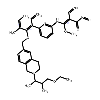 C=C/C(=C(OCc1ccc2c(c1)CCN(C(C)C(C)COCC)C2)\C(C)=C/C)c1cccc(N/C(OC)=C(\C=N)C(=O)N=O)n1